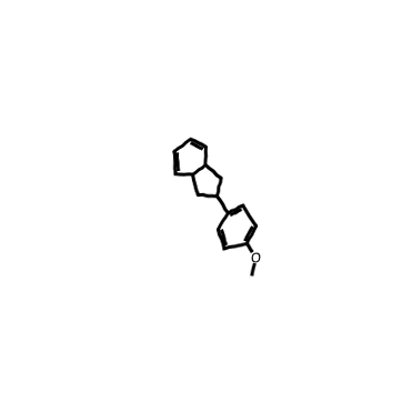 COc1ccc(C2CC3C=CC=CC3C2)cc1